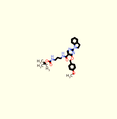 COc1ccc(COc2nc(N3CCc4ccccc43)ncc2C(=O)NCCCNC(=O)OC(C)(C)C)cc1